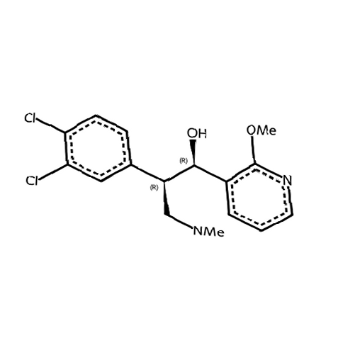 CNC[C@@H](c1ccc(Cl)c(Cl)c1)[C@@H](O)c1cccnc1OC